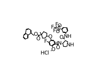 COc1cc(F)c(OC2CCC(C)(C(=O)OCc3cccc4ccccc34)CC2)cc1C(=O)N[C@H]1CCNC[C@H]1C(=O)Nc1cccc(S(=O)(=O)C(F)(F)F)c1.Cl